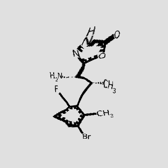 Cc1c(Br)ccc(F)c1[C@@H](C)[C@H](N)c1n[nH]c(=O)o1